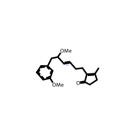 COc1cccc(CC(/C=C/CCC2=C(C)CCC2=O)OC)c1